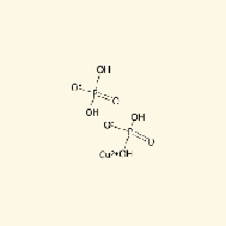 O=P([O-])(O)O.O=P([O-])(O)O.[Cu+2]